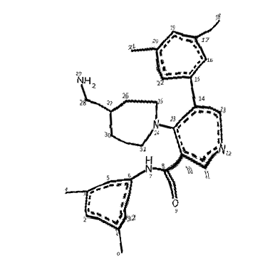 Cc1cc(C)cc(NC(=O)c2cncc(-c3cc(C)cc(C)c3)c2N2CCC(CN)CC2)c1